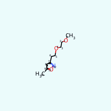 COCCOCCc1cc(C)on1